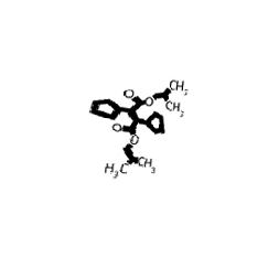 CC(C)COC(=O)C(=C(C(=O)OCC(C)C)C1CCCC1)C1CCCC1